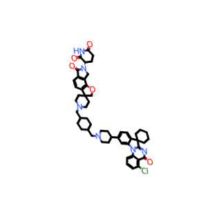 O=C1CC[C@H](N2Cc3c(ccc4c3OCC43CCN(CC4CCC(CN5CCC(c6ccc7c(c6)-n6c(nc(=O)c8c(Cl)cccc86)C76CCCCC6)CC5)CC4)CC3)C2=O)C(=O)N1